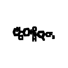 Cc1cc(NC(=O)N2CC=C(c3ncccc3Cl)CC2)ccc1C(F)(F)F